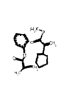 C=C(C(=O)OC)C1CCCCC1.C=C(C)C(=O)Oc1ccccc1